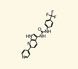 O=C(Nc1ccc(C(F)(F)F)cc1)Nc1c[nH]c2nc(-c3ccncc3)ccc12